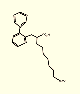 CCCCCCCCCCCCCCCCCC(Cc1ccccc1-[n+]1ccccc1)C(=O)O